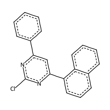 Clc1nc(-c2ccccc2)cc(-c2cccc3ccccc23)n1